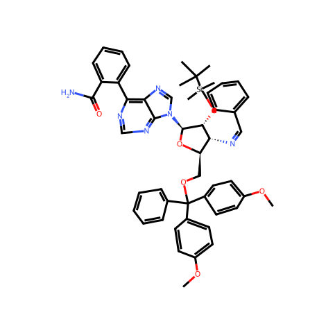 COc1ccc(C(OC[C@H]2O[C@@H](n3cnc4c(-c5ccccc5C(N)=O)ncnc43)[C@H](O[Si](C)(C)C(C)(C)C)[C@@H]2/N=C\c2ccccc2)(c2ccccc2)c2ccc(OC)cc2)cc1